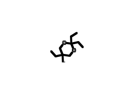 [CH2]C1(CC)COC(CC)(CC)OC1